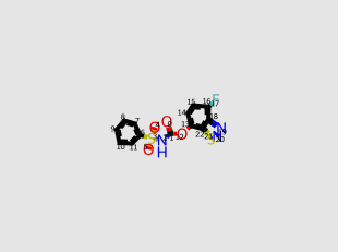 O=C(NS(=O)(=O)c1ccccc1)Oc1ccc(F)c2nnsc12